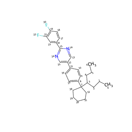 CCCC(CCC)C1(c2ccc(-c3cnc(-c4ccc(F)c(F)c4)nc3)cc2)CCCCC1